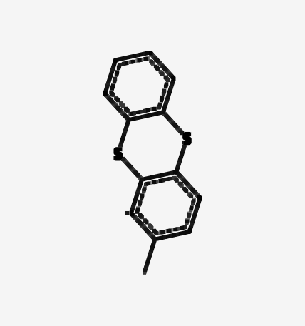 Cc1[c]c2c(cc1)Sc1ccccc1S2